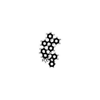 CC1(C)c2ccccc2-c2cccc(N(c3ccc(C(=C(c4ccccc4)c4ccccc4)c4ccccc4)cc3)c3cccc4ccccc34)c21